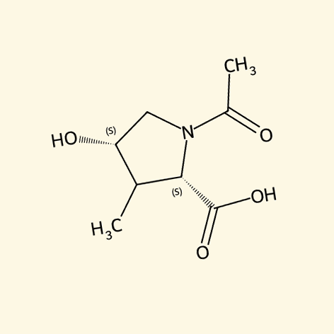 CC(=O)N1C[C@@H](O)C(C)[C@H]1C(=O)O